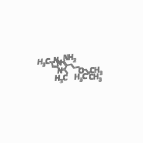 CCc1nc2cc(C)nn2c(N)c1CCCOCC(C)(C)C